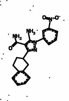 NC(=O)c1c(C2CCc3ccccc3C2)nn(-c2cccc([N+](=O)[O-])c2)c1N